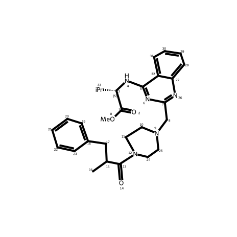 COC(=O)[C@@H](Nc1nc(CN2CCN(C(=O)C(C)Cc3ccccc3)CC2)nc2ccccc12)C(C)C